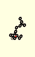 c1ccc(-c2ccc3c(c2)c2cc(-c4cccc(-c5ccc(N(c6ccc(-c7cccc8ccccc78)cc6)c6cc7ccccc7c7oc8ccccc8c67)cc5)c4)ccc2n3-c2ccccc2)cc1